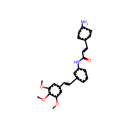 COc1cc(/C=C/c2cccc(NC(=O)/C=C/c3ccc(N)cc3)c2)cc(OC)c1OC